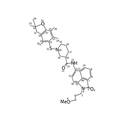 COCCCN1C(=O)c2cccc3c(NC(=O)C4CCCN(Sc5c(C)c(C)c6c(c5C)CC(C)(C)O6)C4)ccc1c23